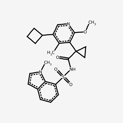 COc1ncc(C2CCC2)c(C)c1C1(C(=O)NS(=O)(=O)c2cccc3ccn(C)c23)CC1